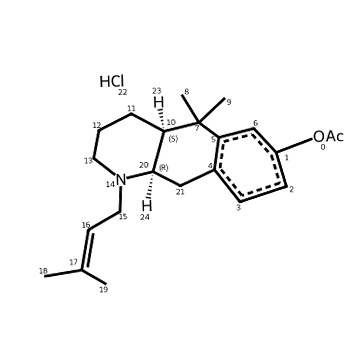 CC(=O)Oc1ccc2c(c1)C(C)(C)[C@@H]1CCCN(CC=C(C)C)[C@@H]1C2.Cl